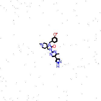 COc1cccc(CN2C(=O)N(c3ncc(-c4cn[nH]c4)c(C)n3)CC23CCN(C)CC3)c1